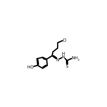 NC(=S)N/N=C(\CCCCl)c1ccc(O)cc1